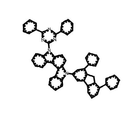 c1ccc(-c2nc(-c3ccccc3)nc(-n3c4ccccc4c4c5c6ccccc6n(-c6cc(-c7ccccc7)c7c(c6)-c6cccc(-c8ccccc8)c6C7)c5ccc43)n2)cc1